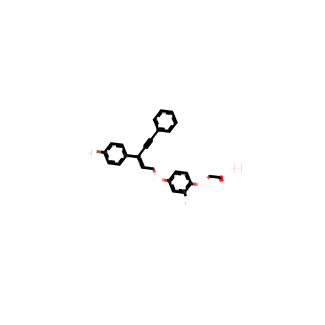 Cc1cc(OC/C=C(\C#Cc2ccccc2)c2ccc(Br)cc2)ccc1OCC(=O)O